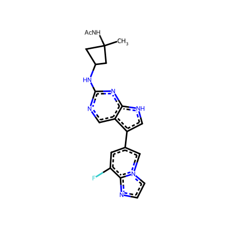 CC(=O)NC1(C)CC(Nc2ncc3c(-c4cc(F)c5nccn5c4)c[nH]c3n2)C1